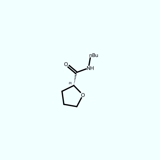 CCCCNC(=O)[C@H]1CCCO1